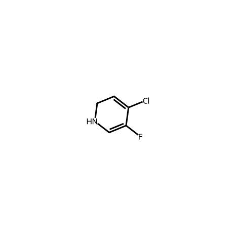 FC1=CNCC=C1Cl